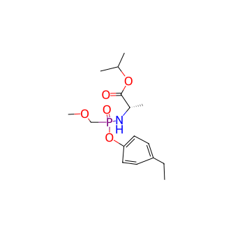 CCc1ccc(OP(=O)(COC)N[C@@H](C)C(=O)OC(C)C)cc1